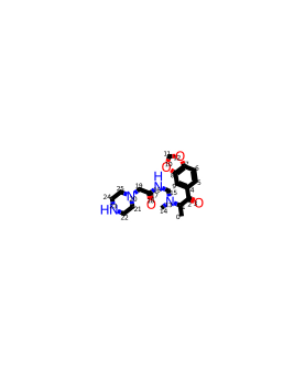 CC(C(=O)c1ccc2c(c1)OCO2)N(C)CNC(=O)CN1CCNCC1